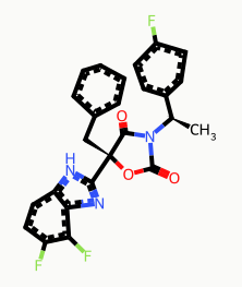 C[C@H](c1ccc(F)cc1)N1C(=O)O[C@](Cc2ccccc2)(c2nc3c(F)c(F)ccc3[nH]2)C1=O